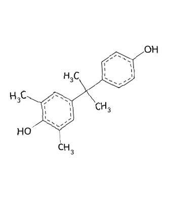 Cc1cc(C(C)(C)c2ccc(O)cc2)cc(C)c1O